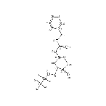 CC(C)(C)[Si](C)(C)OCC1CN(OC(=O)OCc2ccccc2)CCC1=O